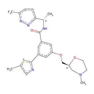 Cc1cnc(-c2cc(OC[C@@H]3CN(C)CCO3)cc(C(=O)N[C@@H](C)c3ccc(C(F)(F)F)nn3)c2)s1